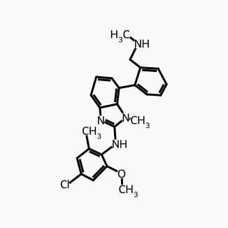 CNCc1ccccc1-c1cccc2nc(Nc3c(C)cc(Cl)cc3OC)n(C)c12